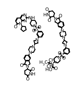 CC(C)(C)N(C(=O)O)C1CCN(S(=O)(=O)c2cccc(N3CC(N4CCN(c5ccc6c(c5)CN(C5CCC(=O)NC5=O)C6=O)CC4)C3)c2)CC1.O=C1CCC(N2Cc3cc(N4CCN(C5CN(c6cccc(S(=O)(=O)N7CCC(Nc8ncc9ccc(=O)n(C%10CCCC%10)c9n8)CC7)c6)C5)CC4)ccc3C2=O)C(=O)N1